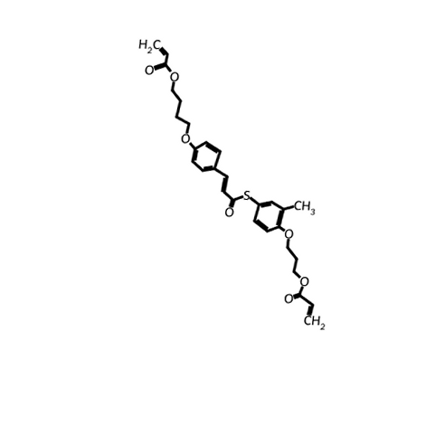 C=CC(=O)OCCCCOc1ccc(/C=C/C(=O)Sc2ccc(OCCCOC(=O)C=C)c(C)c2)cc1